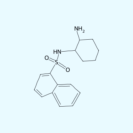 NC1CCCCC1NS(=O)(=O)c1cccc2ccccc12